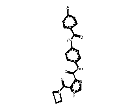 O=C(Nc1ccc(NC(=O)c2nc[nH]c2C(=O)N2CCC2)cc1)c1ccc(F)cc1